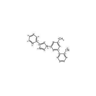 Cc1cc(-c2ccccc2C#N)cc(-n2cnc(-c3ccccn3)c2)c1